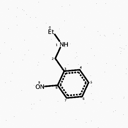 CCNCc1ccccc1N=O